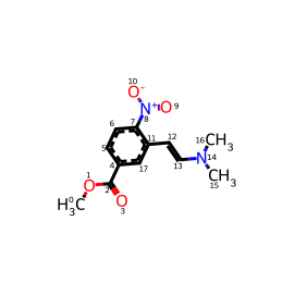 COC(=O)c1ccc([N+](=O)[O-])c(/C=C/N(C)C)c1